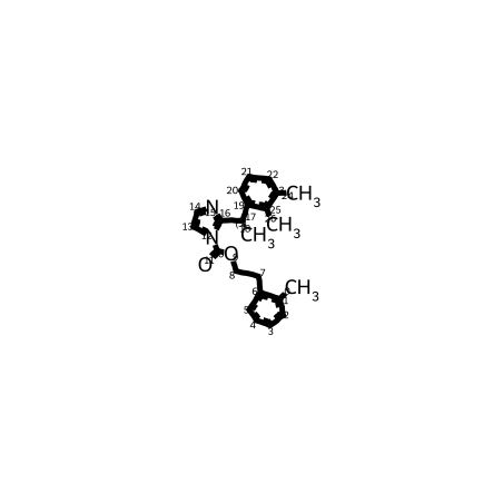 Cc1ccccc1CCOC(=O)n1ccnc1[C@@H](C)c1cccc(C)c1C